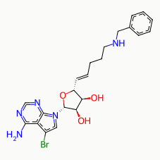 Nc1ncnc2c1c(Br)cn2[C@@H]1O[C@H](/C=C/CCCNCc2ccccc2)[C@@H](O)[C@H]1O